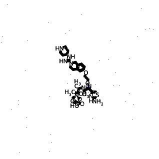 CC(NC(=O)/C(=N\OCCOc1ccc2c(c1)CCN(C(=N)NC1CCNCC1)C2)C1=CSC(N)N1)C(C)(C)N(C=O)OS(=O)(=O)O